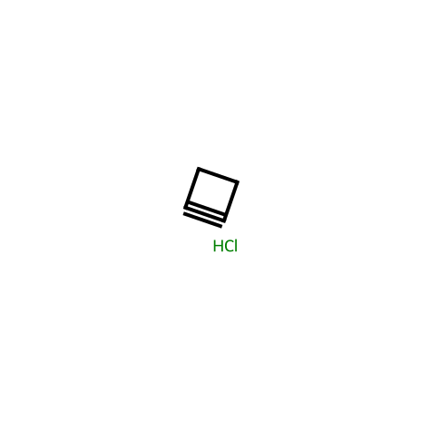 C1#CCC1.Cl